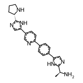 C[C@H](N)c1ncc(-c2ccc(-c3ccc(-c4cnc([C@@H]5CCCN5)[nH]4)cn3)cc2)[nH]1